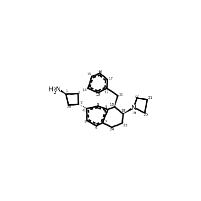 N[C@H]1C[C@H](c2ccc3c(c2)[C@@H](Cc2ccccc2)[C@@H](N2CCC2)CC3)C1